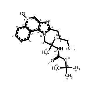 CCCCc1nc2c[n+]([O-])c3ccccc3c2n1CC(C)(C)NC(=O)OC(C)(C)C